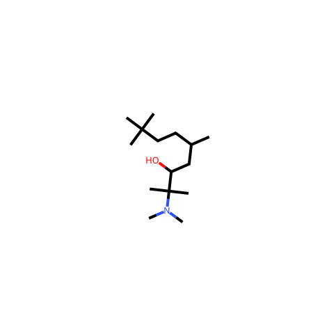 CC(CCC(C)(C)C)CC(O)C(C)(C)N(C)C